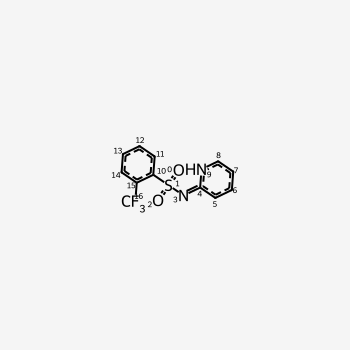 O=S(=O)(N=c1cccc[nH]1)c1ccccc1C(F)(F)F